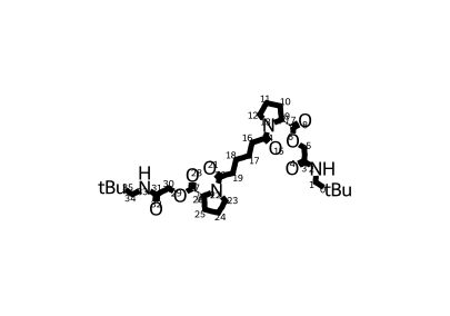 CC(C)(C)CNC(=O)COC(=O)[C@H]1CCCN1C(=O)CCCCC(=O)N1CCC[C@@H]1C(=O)OCC(=O)NCC(C)(C)C